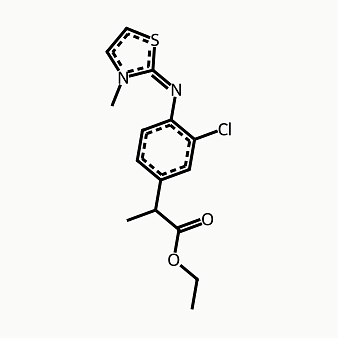 CCOC(=O)C(C)c1ccc(N=c2sccn2C)c(Cl)c1